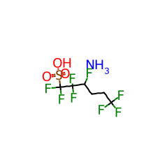 N.O=S(=O)(O)C(F)(F)C(F)(F)C(F)CCC(F)(F)F